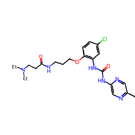 CCN(CC)CCC(=O)NCCCOc1ccc(Cl)cc1NC(=O)Nc1cnc(C)cn1